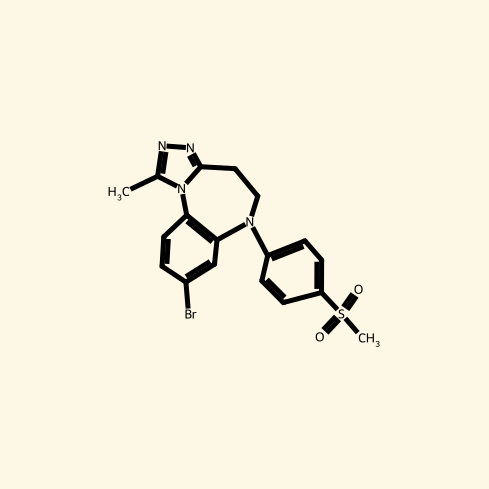 Cc1nnc2n1-c1ccc(Br)cc1N(c1ccc(S(C)(=O)=O)cc1)CC2